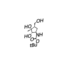 CC(C)(C)OC(=O)N[C@@H]1C[C@H](CO)[C@@](C)(O)[C@H]1O